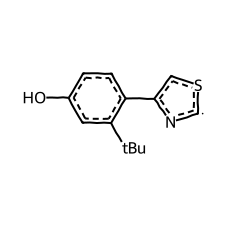 CC(C)(C)c1cc(O)ccc1-c1cs[c]n1